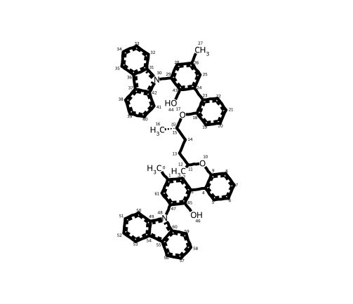 Cc1cc(-c2ccccc2OC(C)CC[C@H](C)Oc2ccccc2-c2cc(C)cc(-n3c4ccccc4c4ccccc43)c2O)c(O)c(-n2c3ccccc3c3ccccc32)c1